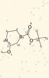 COC1=NCCB(C(=O)OC(C)(C)C)C1